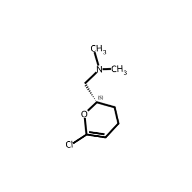 CN(C)C[C@@H]1CCC=C(Cl)O1